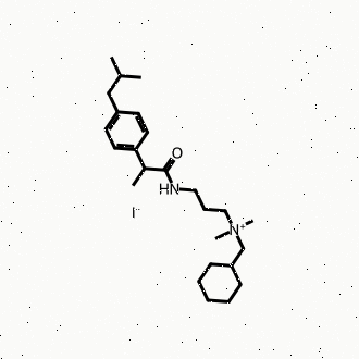 CC(C)Cc1ccc(C(C)C(=O)NCCC[N+](C)(C)CC2CCCCC2)cc1.[I-]